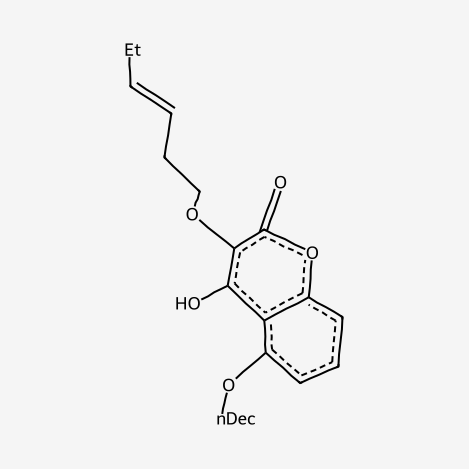 CC/C=C/CCOc1c(O)c2c(OCCCCCCCCCC)cccc2oc1=O